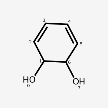 O[C]1C=CC=CC1O